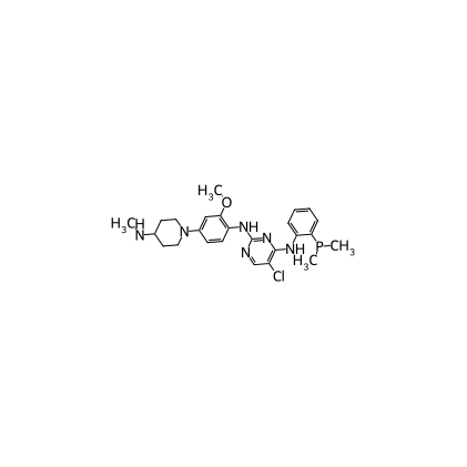 CNC1CCN(c2ccc(Nc3ncc(Cl)c(Nc4ccccc4P(C)C)n3)c(OC)c2)CC1